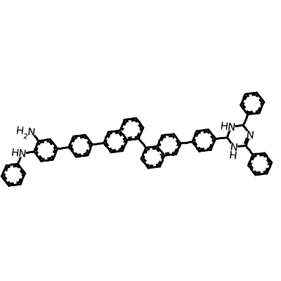 Nc1cc(-c2ccc(-c3ccc4c(-c5cccc6cc(-c7ccc(C8NC(c9ccccc9)=NC(c9ccccc9)N8)cc7)ccc56)cccc4c3)cc2)ccc1Nc1ccccc1